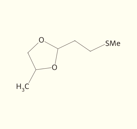 CSCCC1OCC(C)O1